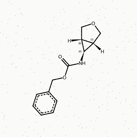 O=C(N[C@H]1[C@@H]2COC[C@@H]21)OCc1ccccc1